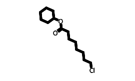 O=C(CCCCCCCCl)OC1CCCCC1